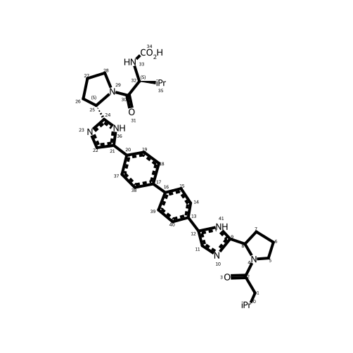 CC(C)CC(=O)N1CCCC1c1ncc(-c2ccc(-c3ccc(-c4cnc([C@@H]5CCCN5C(=O)[C@@H](NC(=O)O)C(C)C)[nH]4)cc3)cc2)[nH]1